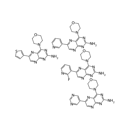 Nc1nc(N2CCOCC2)c2nc(-c3cccnc3)cnc2n1.Nc1nc(N2CCOCC2)c2nc(-c3cccnc3F)cnc2n1.Nc1nc(N2CCOCC2)c2nc(-c3ccsc3)cnc2n1.Nc1nc(N2CCOCC2)c2nc(-c3cncnc3)cnc2n1